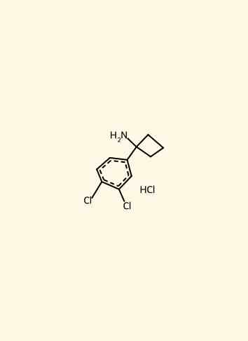 Cl.NC1(c2ccc(Cl)c(Cl)c2)CCC1